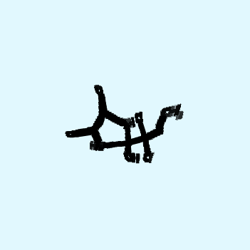 CCC(Cl)(Cl)C1(O)NC(=O)C(=O)N1